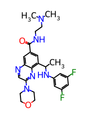 CC(Nc1cc(F)cc(F)c1)c1cc(C(=O)NCCN(C)C)cc2ncc(N3CCOCC3)nc12